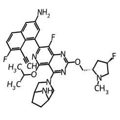 C#Cc1c(F)ccc2cc(N)cc(-c3nc(OC(C)C)c4c(N5CC6CCC(C5)N6)nc(OC[C@@H]5C[C@@H](F)CN5C)nc4c3F)c12